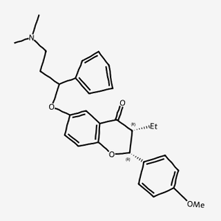 CC[C@H]1C(=O)c2cc(OC(CCN(C)C)c3ccccc3)ccc2O[C@H]1c1ccc(OC)cc1